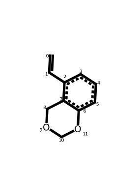 C=Cc1cccc2c1COCO2